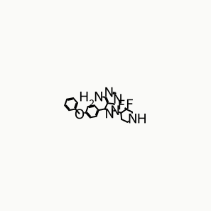 Nc1ncnc2c1c(-c1ccc(Oc3ccccc3)cc1)nn2C1CCNCC1(F)F